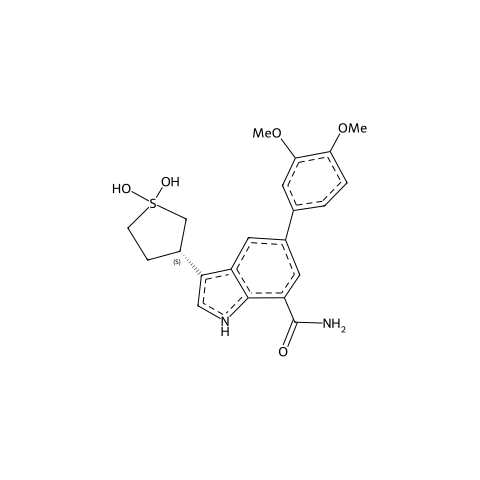 COc1ccc(-c2cc(C(N)=O)c3[nH]cc([C@@H]4CCS(O)(O)C4)c3c2)cc1OC